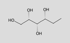 CC[C@@H](O)[C@H](O)[C@@H](O)CO